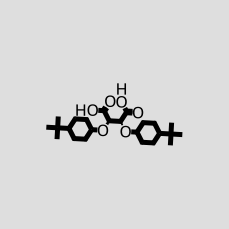 CC(C)(C)C1CCC(O[C@@H](C(=O)O)[C@@H](OC2CCC(C(C)(C)C)CC2)C(=O)O)CC1